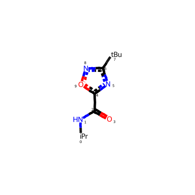 CC(C)NC(=O)c1nc(C(C)(C)C)no1